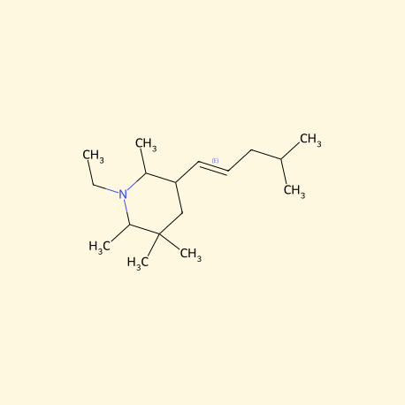 CCN1C(C)C(/C=C/CC(C)C)CC(C)(C)C1C